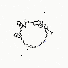 CC(C)CCC[C@H]1CCCCC/C=C\C/C=C\CCCCCCCCOCC(CN2CCCCC2)OCCOC(=O)[C@H](Cc2ccccc2)NC(=O)OC2CC[C@@]3(C)C(=CC[C@@H]4C3CC[C@]3(C)[C@@H]1CC[C@@H]43)C2